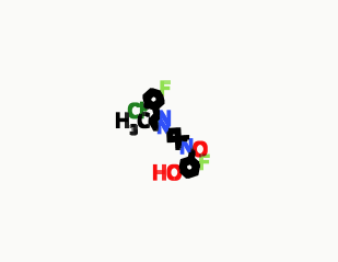 Cc1cn(C2CC3(C2)CN(C(=O)c2cc(O)ccc2F)C3)nc1-c1cc(F)ccc1Cl